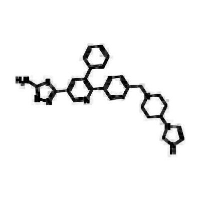 Nc1nnc(-c2cnc(-c3ccc(CN4CCC(N5C=CNC5)CC4)cc3)c(-c3ccccc3)c2)s1